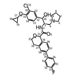 O=C(N[C@H](CN1CCCC1)[C@H](O)c1ccc(OC2CC2)c(Cl)c1)C1OCCc2cc(-c3ccc(F)cc3)ccc21